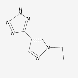 CCn1cc(-c2nn[nH]n2)cn1